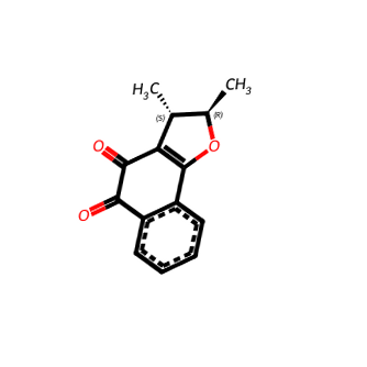 C[C@H]1OC2=C(C(=O)C(=O)c3ccccc32)[C@@H]1C